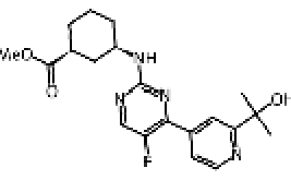 COC(=O)[C@H]1CCC[C@@H](Nc2ncc(F)c(-c3ccnc(C(C)(C)O)c3)n2)C1